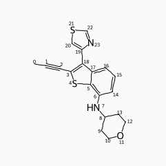 CC#Cc1sc2c(NC3CCOCC3)cccc2c1-c1cscn1